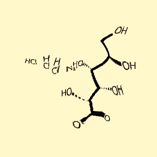 Cl.Cl.Cl.O=C([O-])[C@H](O)[C@@H](O)[C@H](O)[C@H](O)CO.[Na+]